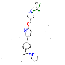 C=C(c1ccc(-c2ccc(OCC3CCN(CC4(C(F)(F)F)CC4)CC3)nc2)cc1)N1CCCCC1